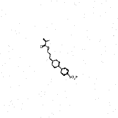 C=C(C)C(=O)OCCCC1CCC(c2ccc(S(=O)(=O)O)cc2)CC1